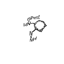 CCCCCNc1ccccc1N=N